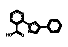 O=C(O)c1cccnc1-n1cc(-c2ccccc2)cn1